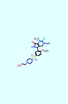 CCCOc1ccc(S(=O)(=O)N2CCN(CCO)CC2)cc1C1NC(=O)C2=C1CN(CCC)C(Cl)N2C